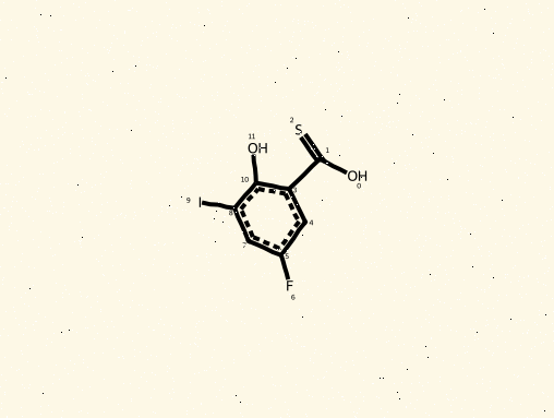 OC(=S)c1cc(F)cc(I)c1O